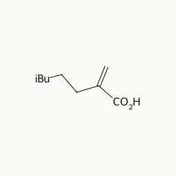 C=C(CCC(C)CC)C(=O)O